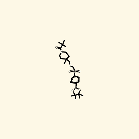 CC1(COCS(=O)(=O)c2ccc(B3OC(C)(C)C(C)(C)O3)cc2)CCN(C(=O)C(C)(C)C)CC1